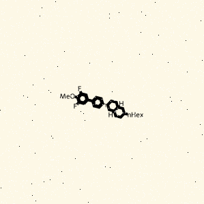 CCCCCCC1CC[C@@H]2C[C@H](c3ccc(-c4cc(F)c(OC)c(F)c4)cc3)CC[C@@H]2C1